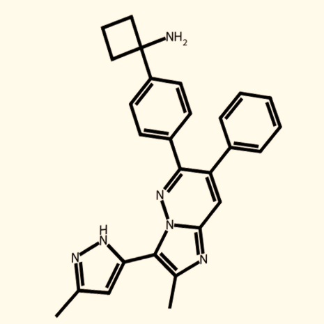 Cc1cc(-c2c(C)nc3cc(-c4ccccc4)c(-c4ccc(C5(N)CCC5)cc4)nn23)[nH]n1